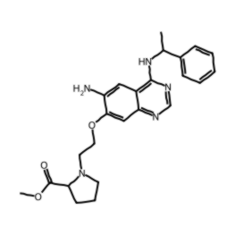 COC(=O)C1CCCN1CCOc1cc2ncnc(NC(C)c3ccccc3)c2cc1N